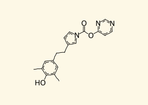 Cc1cc(CCc2ccn(C(=O)Oc3ccncn3)c2)cc(C)c1O